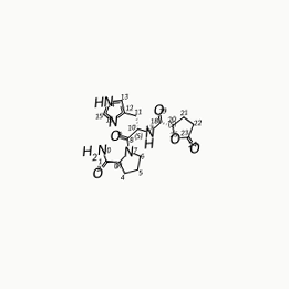 NC(=O)[C@@H]1CCCN1C(=O)[C@H](Cc1c[nH]cn1)NC(=O)[C@@H]1CCC(=O)O1